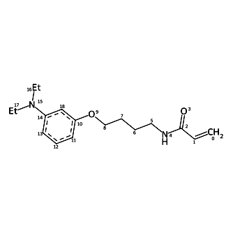 C=CC(=O)NCCCCOc1cccc(N(CC)CC)c1